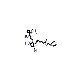 CCC1(C(O)C/C=C/[C@@H]2[C@@H](C/C=C\CCCC(=O)OCCN3CCOCC3)[C@H](C#N)C[C@H]2O)CCC1